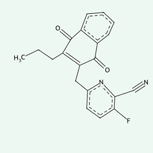 CCCC1=C(Cc2ccc(F)c(C#N)n2)C(=O)c2ccccc2C1=O